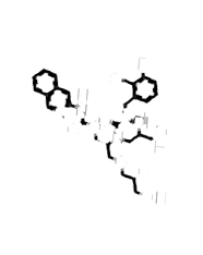 O=C(Nc1cc2ccccc2cn1)OC[C@H](COC[C@H](O)CO)N(CC(O)CO)C(=O)NCc1cccc(F)c1Cl